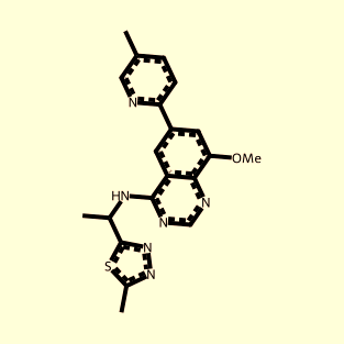 COc1cc(-c2ccc(C)cn2)cc2c(NC(C)c3nnc(C)s3)ncnc12